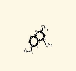 CCOc1ccc2nc(C)cc(OC)c2c1